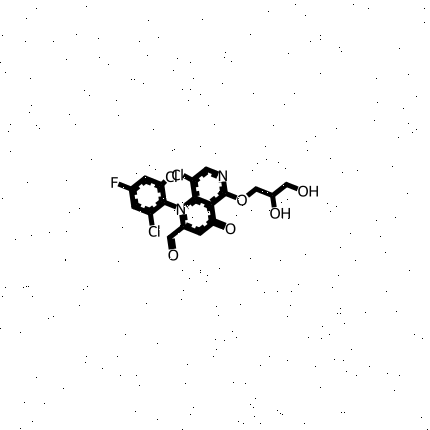 O=Cc1cc(=O)c2c(OCC(O)CO)ncc(Cl)c2n1-c1c(Cl)cc(F)cc1Cl